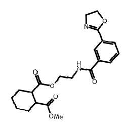 COC(=O)C1CCCCC1C(=O)OCCNC(=O)c1cccc(C2=NCCO2)c1